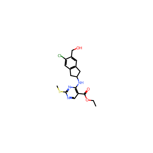 CCOC(=O)c1cnc(SC)nc1NC1Cc2cc(Cl)c(CO)cc2C1